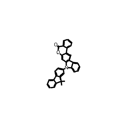 CC1(C)c2ccccc2-c2ccc(-n3c4ccccc4c4cc5c(cc43)oc(=O)c3ccccc35)cc21